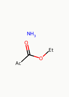 CCOC(=O)C(C)=O.N